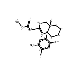 CC(C)(C)OC(=O)NC1=N[C@@]2(c3cc(N)c(F)cc3F)CCCC[C@H]2CS1